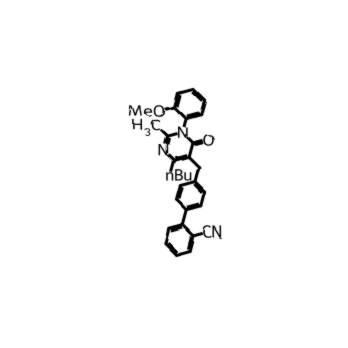 CCCCc1nc(C)n(-c2ccccc2OC)c(=O)c1Cc1ccc(-c2ccccc2C#N)cc1